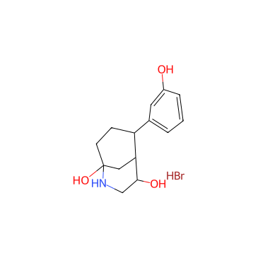 Br.Oc1cccc(C2CCC3(O)CC2C(O)CN3)c1